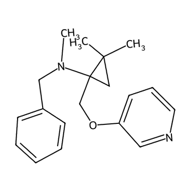 CN(Cc1ccccc1)C1(COc2cccnc2)CC1(C)C